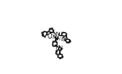 c1cc(-c2nc(-c3cccc4c3oc3ccccc34)nc(-c3cccc4c3oc3ccccc34)n2)cc(-n2ncc3c4ccccc4ccc32)c1